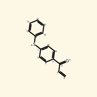 C=CC(=O)c1ccc(Sc2ccccc2)cc1